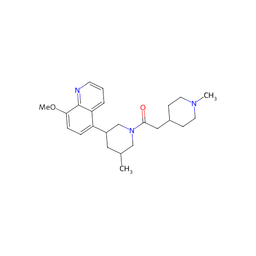 COc1ccc(C2CC(C)CN(C(=O)CC3CCN(C)CC3)C2)c2cccnc12